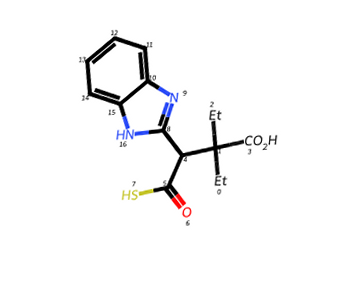 CCC(CC)(C(=O)O)C(C(=O)S)c1nc2ccccc2[nH]1